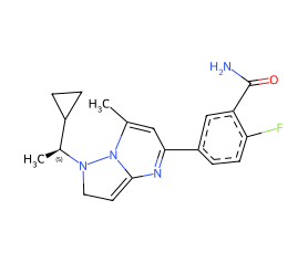 CC1=CC(c2ccc(F)c(C(N)=O)c2)=NC2=CCN([C@@H](C)C3CC3)N12